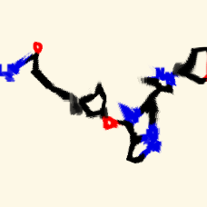 NC(=O)C#CC[C@@H]1CCC[C@@H](Oc2nc(-c3cnn([C@@H]4CCOC4)c3)cn3nccc23)C1